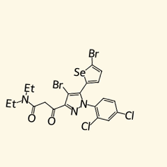 CCN(CC)C(=O)CC(=O)c1nn(-c2ccc(Cl)cc2Cl)c(-c2ccc(Br)[se]2)c1Br